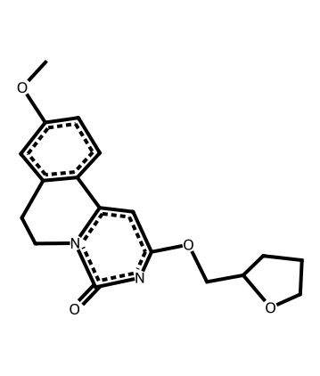 COc1ccc2c(c1)CCn1c-2cc(OCC2CCCO2)nc1=O